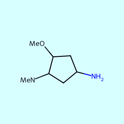 CNC1CC(N)CC1OC